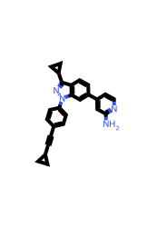 Nc1cc(-c2ccc3c(C4CC4)nn(-c4ccc(C#CC5CC5)cc4)c3c2)ccn1